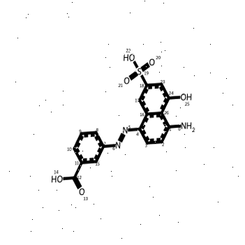 Nc1ccc(N=Nc2cccc(C(=O)O)c2)c2cc(S(=O)(=O)O)cc(O)c12